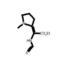 CCOC(=O)/C(NC=S)=C1\CCCN1C